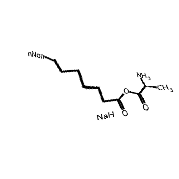 CCCCCCCCCCCCCCCC(=O)OC(=O)[C@H](C)N.[NaH]